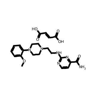 COc1ccccc1N1CCN(CCNc2nccc(C(N)=O)n2)CC1.O=C(O)/C=C/C(=O)O